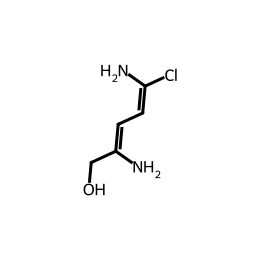 N/C(=C\C=C(/N)Cl)CO